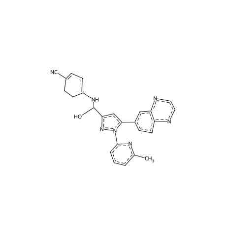 Cc1cccc(-n2nc(C(O)NC3=CC=C(C#N)CC3)cc2-c2ccc3nccnc3c2)n1